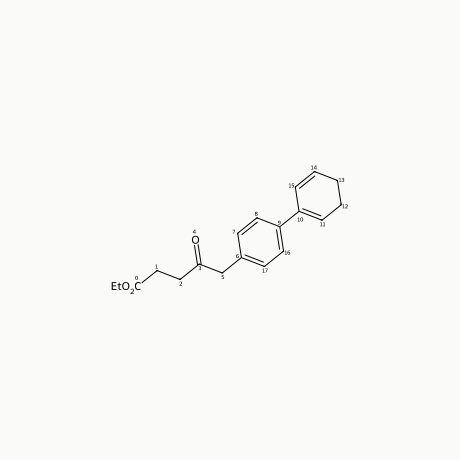 CCOC(=O)CCC(=O)Cc1ccc(C2=CCCC=C2)cc1